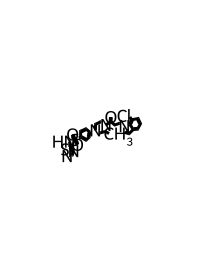 CC1CN(c2ccc(S(=O)(=O)Nc3ncns3)cc2)CCN1C(=O)CCn1ccc2cccc(Cl)c21